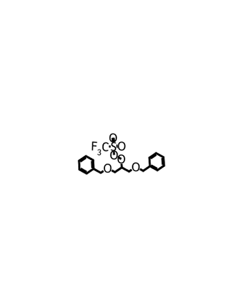 O=S(=O)(OOC(COCc1ccccc1)COCc1ccccc1)C(F)(F)F